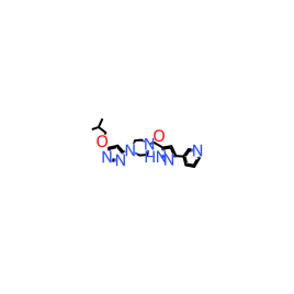 CC(C)COc1cc(N2CCN(C(=O)c3cc(-c4cccnc4)n[nH]3)CC2)ncn1